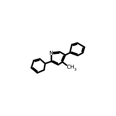 Cc1cc(C2C=CC=CC2)ncc1-c1ccccc1